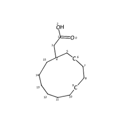 O=C(O)C[C]1CCCCCCCCCCC1